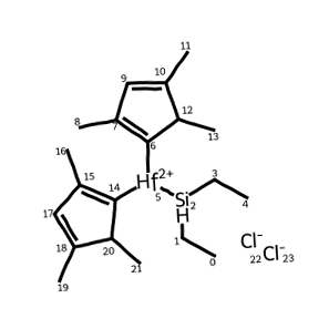 CC[SiH](CC)[Hf+2]([C]1=C(C)C=C(C)C1C)[C]1=C(C)C=C(C)C1C.[Cl-].[Cl-]